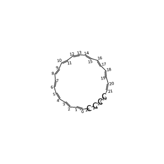 [C]1=C/C=C/C=C\C=C\C=C\C=C\C=C/C=C/C=C/C=C/C=C\CCCC/1